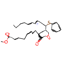 CCCCC/C=C/C(Sc1ccccc1)C1COC(=O)C1CCCCCCC(=O)OC